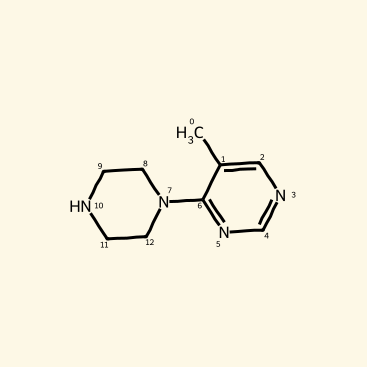 Cc1cncnc1N1CCNCC1